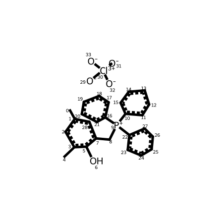 Cc1cc(C)c(O)c(C[P+](c2ccccc2)(c2ccccc2)c2ccccc2)c1.[O-][Cl+3]([O-])([O-])[O-]